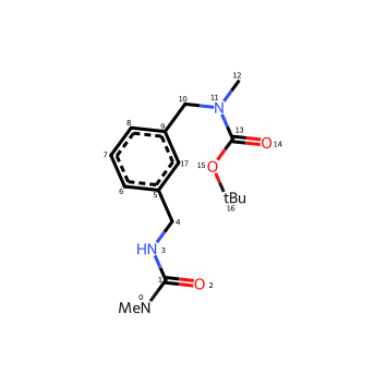 CNC(=O)NCc1cccc(CN(C)C(=O)OC(C)(C)C)c1